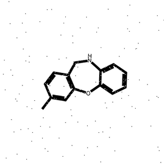 Cc1ccc2c(c1)Oc1ccccc1NC2